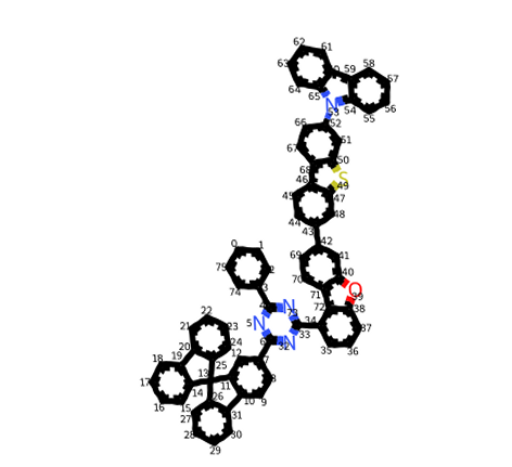 c1ccc(-c2nc(-c3ccc4c(c3)C3(c5ccccc5-c5ccccc53)c3ccccc3-4)nc(-c3cccc4oc5cc(-c6ccc7c(c6)sc6cc(-n8c9ccccc9c9ccccc98)ccc67)ccc5c34)n2)cc1